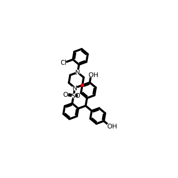 O=S(=O)(c1ccccc1C(c1ccc(O)cc1)c1ccc(O)cc1)N1CCN(c2ccccc2Cl)CC1